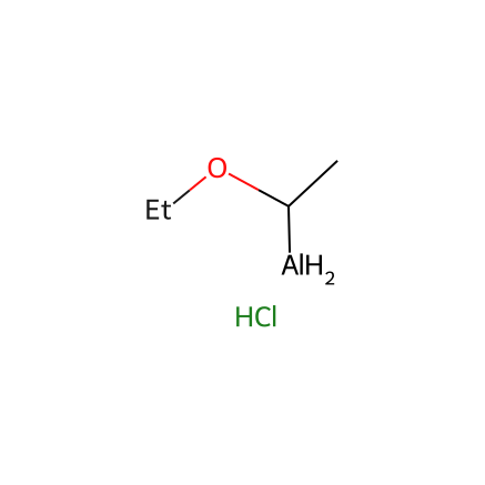 CCO[CH](C)[AlH2].Cl